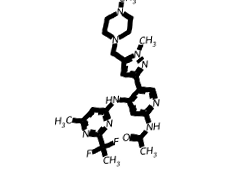 CC(=O)Nc1cc(Nc2cc(C)nc(C(C)(F)F)n2)c(-c2cc(CN3CCN(C)CC3)n(C)n2)cn1